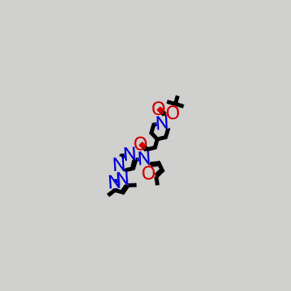 Cc1cc(C)n(-c2cc(N(C(=O)CC3CCN(C(=O)OC(C)(C)C)CC3)c3ccc(C)o3)ncn2)n1